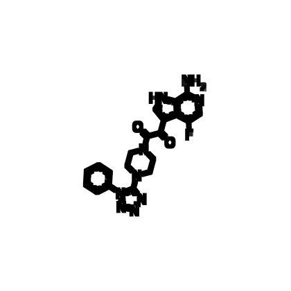 Nc1ncc(F)c2c(C(=O)C(=O)N3CCN(c4nnnn4-c4ccccc4)CC3)c[nH]c12